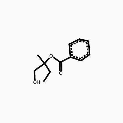 CCC(C)(CO)OC(=O)c1ccccc1